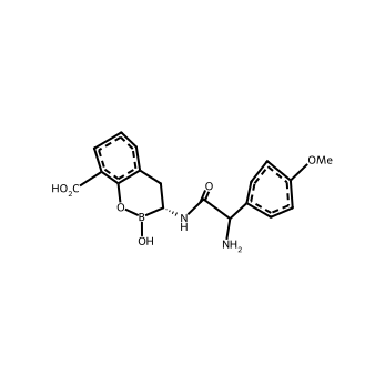 COc1ccc(C(N)C(=O)N[C@H]2Cc3cccc(C(=O)O)c3OB2O)cc1